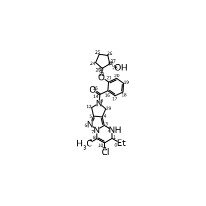 CCC1Nc2c3c(nn2C(C)=C1Cl)CN(C(=O)c1ccccc1O[C@H]1CCC[C@@H]1O)C3